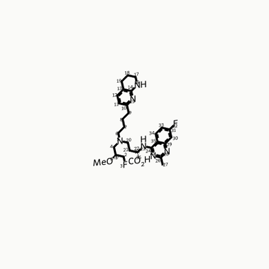 CO[C@H](CF)CN(CCCCc1ccc2c(n1)NCCC2)CC[C@H](Nc1nc(C)nc2cc(F)ccc12)C(=O)O